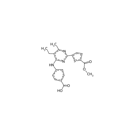 CCc1c(C)nc(-c2ccc(C(=O)OC)s2)nc1Nc1ccc(C(=O)O)cc1